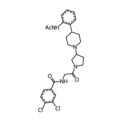 CC(=O)Nc1ccccc1C1CCN(C2CCN(C(=O)CNC(=O)c3ccc(Cl)c(Cl)c3)C2)CC1